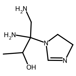 CC(O)C(N)(CN)N1C=NCC1